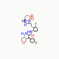 N[C@H](C(=O)Nc1cccc(F)c1CC[C@H]1CN[C@@H]2CCCS(=O)(=O)N1C2)[C@@H](c1ccc(F)cc1)C1CCCOC1